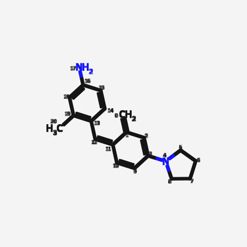 C=c1cc(N2CCCC2)cc/c1=C/c1ccc(N)cc1C